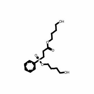 O=C(CCP(=O)(OCCCCO)c1ccccc1)OCCCCO